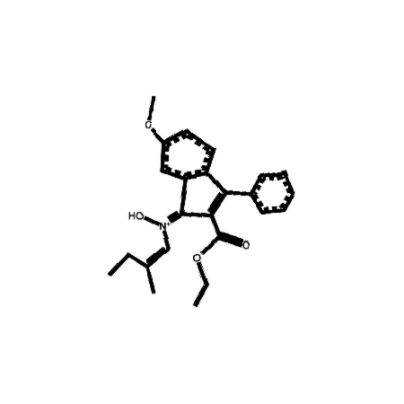 CCOC(=O)C1=C(c2ccccc2)c2ccc(OC)cc2/C1=[N+](\O)C=C(C)CC